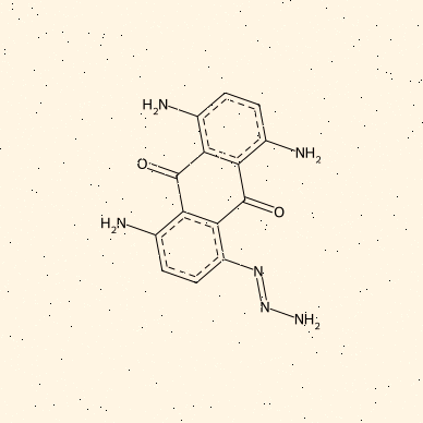 NN=Nc1ccc(N)c2c1C(=O)c1c(N)ccc(N)c1C2=O